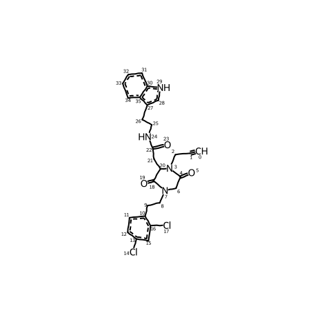 C#CCN1C(=O)CN(CCc2ccc(Cl)cc2Cl)C(=O)C1CC(=O)NCCc1c[nH]c2ccccc12